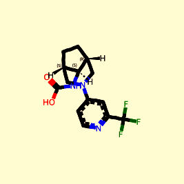 O=C(O)N[C@@H]1[C@@H]2CC[C@H]1CN(c1ccnc(C(F)(F)F)c1)C2